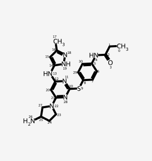 CCC(=O)Nc1ccc(Sc2nc(Nc3cc(C)n[nH]3)cc(N3CCC(N)C3)n2)cc1